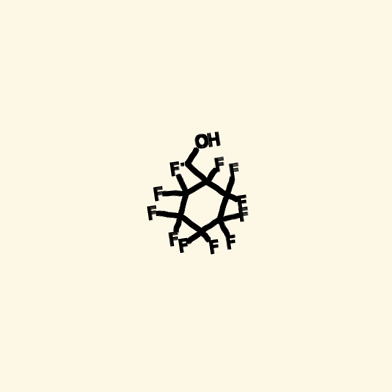 O[CH]C1(F)C(F)(F)C(F)(F)C(F)(F)C(F)(F)C1(F)F